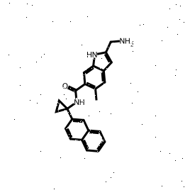 Cc1cc2cc(CN)[nH]c2cc1C(=O)NC1(c2ccc3ccccc3c2)CC1